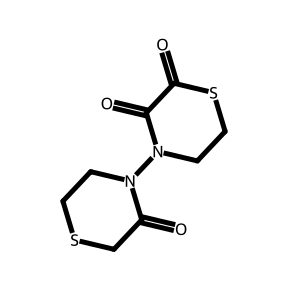 O=C1SCCN(N2CCSCC2=O)C1=O